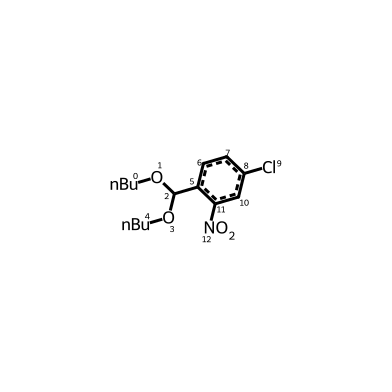 CCCCOC(OCCCC)c1ccc(Cl)cc1[N+](=O)[O-]